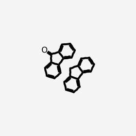 O=C1c2ccccc2-c2ccccc21.c1ccc2c(c1)Cc1ccccc1-2